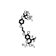 CCC(CC)(Oc1ccc(OCCCOc2cc3c(cc2Cl)C(C(F)(F)F)=CC(C)(C)O3)cc1)C(=O)O